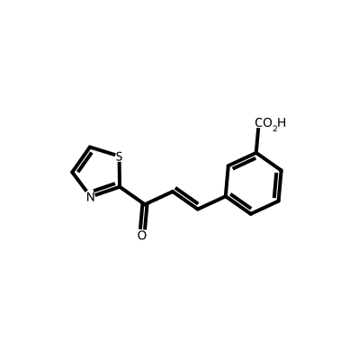 O=C(O)c1cccc(C=CC(=O)c2nccs2)c1